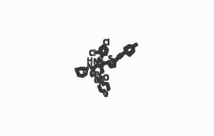 Cc1ccc(C#Cc2ccc(-c3c(CNS(=O)(=O)N4CCN(C)CC4)c(C(=O)NN4CCCCC4)nn3-c3ccc(Cl)cc3Cl)s2)cc1